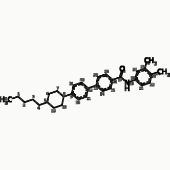 CCCCCC1CCC(c2ccc(-c3ccc(C(=O)Nc4ccc(C)c(C)c4)cc3)cc2)CC1